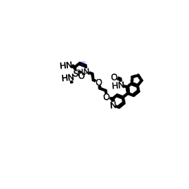 CN[S+]([O-])C(=N)/C=C\NCCOCCOc1cc(-c2ccc3c(c2NC=O)CCC3)ccn1